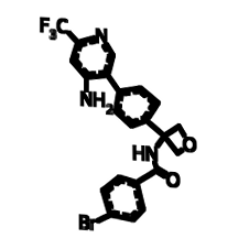 Nc1cc(C(F)(F)F)ncc1-c1ccc(C2(NC(=O)c3ccc(Br)cc3)COC2)cc1